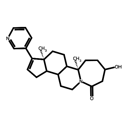 C[C@]12CCC3C(CCN4C(=O)CC(O)CC[C@]34C)C1CC=C2c1cccnc1